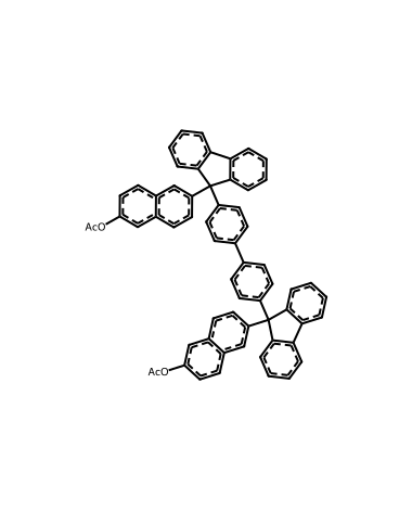 CC(=O)Oc1ccc2cc(C3(c4ccc(-c5ccc(C6(c7ccc8cc(OC(C)=O)ccc8c7)c7ccccc7-c7ccccc76)cc5)cc4)c4ccccc4-c4ccccc43)ccc2c1